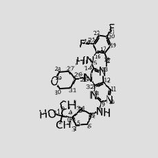 CC(C)(O)[C@@H]1CC[C@H](Nc2ncc3nc(Nc4c(F)cc(F)cc4F)n(C4CCOCC4)c3n2)C1